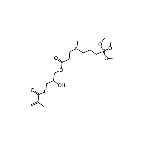 C=C(C)C(=O)OCC(O)COC(=O)CCN(C)CCC[Si](OC)(OC)OC